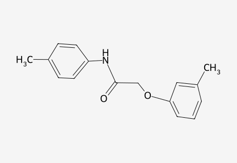 Cc1ccc(NC(=O)COc2cccc(C)c2)cc1